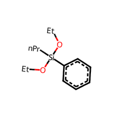 [CH2]CC[Si](OCC)(OCC)c1ccccc1